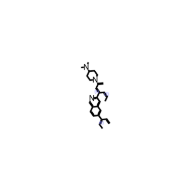 C=C/C(=C\C)c1ccc2cnc(C(/C=C\C)=C/C(=C)N3CCC(N(C)C)CC3)cc2c1